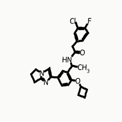 CC(NC(=O)Cc1ccc(F)c(Cl)c1)c1cc(-c2cn3c(n2)CCC3)ccc1OC1CCC1